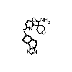 NC(=O)C1(c2cccc(Sc3ccc4c(ccc5ncnn54)c3)n2)CCOCC1